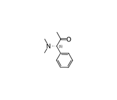 CC(=O)[C@H](c1ccccc1)N(C)C